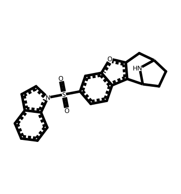 O=S(=O)(c1ccc2c3c(oc2c1)CC1CCC3N1)n1ccc2ccccc21